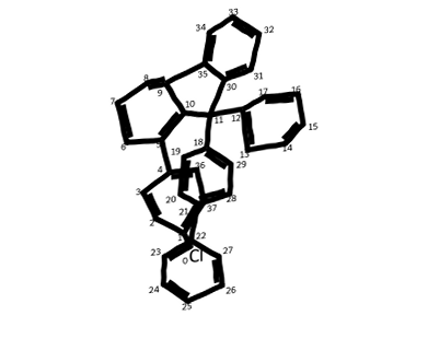 Clc1ccc(-c2cccc3c2C(c2ccccc2)(c2ccc(-c4ccccc4)cc2)c2ccccc2-3)cc1